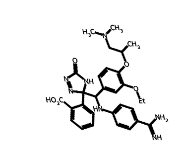 CCOc1cc(C(Nc2ccc(C(=N)N)cc2)C2(c3ccccc3C(=O)O)N=NC(=O)N2)ccc1OC(C)CN(C)C